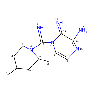 CC1CCN(C(=N)n2ccnc(N)c2=N)C(C)C1